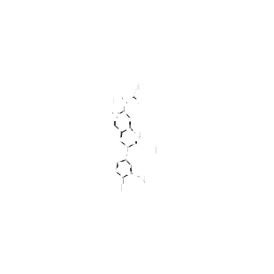 Cc1nc2cc(NC(=O)C(C)C)ncc2cc1-c1ccc(F)c(N)c1